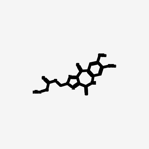 CCCCCCOC(=O)OCn1nc2c(=O)[nH]c3cc(OC)c(OC)cc3c(=O)c2n1